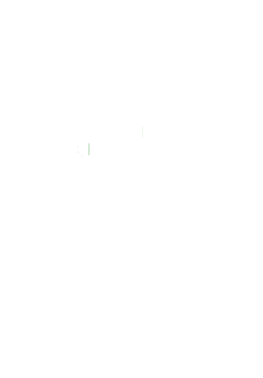 [CH2]CCc1ccc(Cl)c(Cl)c1